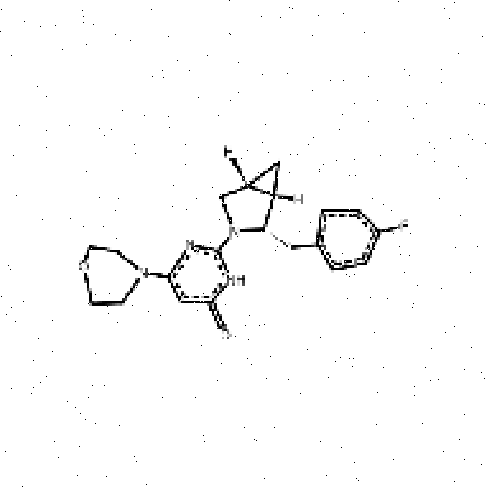 O=c1cc(N2CCOCC2)nc(N2C[C@@H]3C[C@@H]3[C@@H]2Cc2ccc(F)cc2)[nH]1